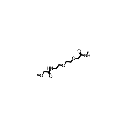 CNC(=O)COCCOCCNC(=O)COC